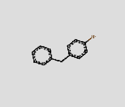 Brc1c[c]c(Cc2ccccc2)cc1